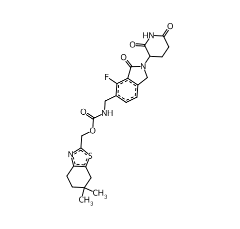 CC1(C)CCc2nc(COC(=O)NCc3ccc4c(c3F)C(=O)N(C3CCC(=O)NC3=O)C4)sc2C1